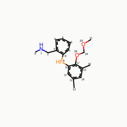 CNCc1ccccc1Pc1cc(C)cc(C)c1OCOC